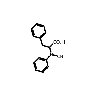 N#CN(c1ccccc1)C(Cc1ccccc1)C(=O)O